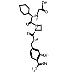 N=C(N)c1ccc(CNC(=O)[C@@H]2CCN2C(=O)[C@H](NCC(=O)O)C2CCCCC2)cc1O